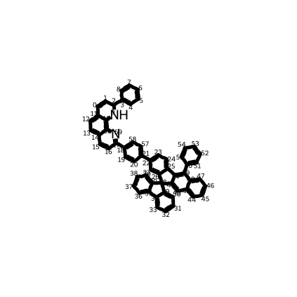 C1=CC(c2ccccc2)Nc2c1ccc1ccc(-c3ccc(-c4ccc5c(c4)C4(c6ccccc6-c6ccccc64)c4cc6ccccc6c(-c6ccccc6)c4-5)cc3)nc21